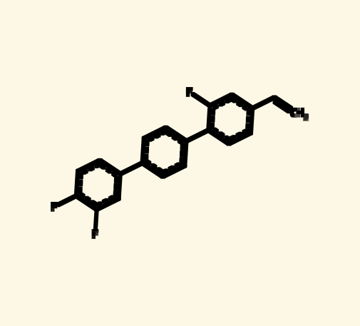 C=Cc1ccc(-c2ccc(-c3ccc(F)c(F)c3)cc2)c(F)c1